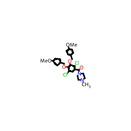 COc1ccc(COc2c(Cl)cc(C(=O)N3CCN(C)CC3)c(Cl)c2OCc2ccc(OC)cc2)cc1